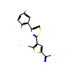 CSc1sc(C(=N)N)cc1-c1nc(-c2cc(F)ccc2F)cs1.Cl